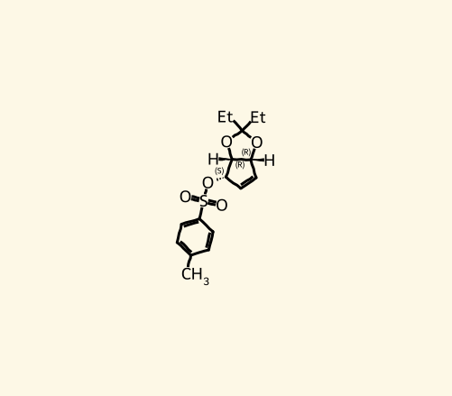 CCC1(CC)O[C@H]2[C@@H](OS(=O)(=O)c3ccc(C)cc3)C=C[C@H]2O1